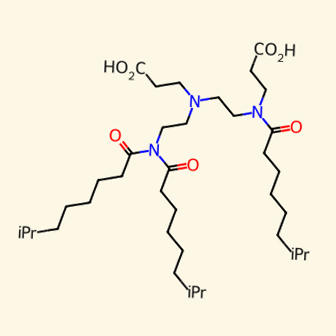 CC(C)CCCCCC(=O)N(CCC(=O)O)CCN(CCC(=O)O)CCN(C(=O)CCCCCC(C)C)C(=O)CCCCCC(C)C